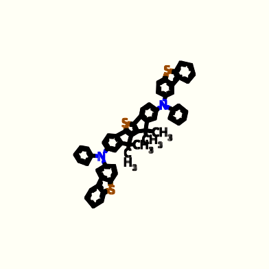 CC1(C)c2cc(N(c3ccccc3)c3ccc4sc5ccccc5c4c3)ccc2-c2sc3c(c21)C(C)(C)c1cc(N(c2ccccc2)c2ccc4sc5ccccc5c4c2)ccc1-3